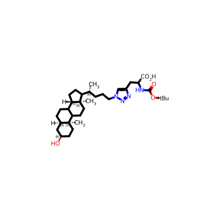 C[C@H](CCCn1cc(CC(NC(=O)OC(C)(C)C)C(=O)O)nn1)C1CC[C@H]2C3CC[C@@H]4C[C@H](O)CC[C@]4(C)C3CC[C@]12C